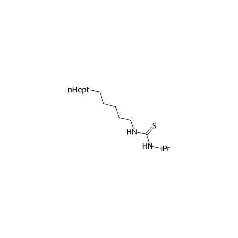 CCCCCCCCCCCCNC(=S)NC(C)C